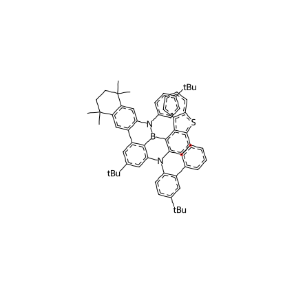 CC(C)(C)c1ccc(N2B3c4c(cc(C(C)(C)C)cc4N(c4ccc(C(C)(C)C)cc4-c4ccccc4)c4ccc5sc6ccccc6c5c43)-c3cc4c(cc32)C(C)(C)CCC4(C)C)cc1